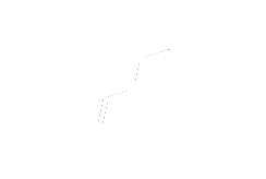 O=COOI